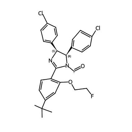 CC(C)(C)c1ccc(C2=N[C@@H](c3ccc(Cl)cc3)[C@@H](c3ccc(Cl)cc3)N2[C]=O)c(OCCF)c1